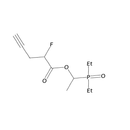 C#CCC(F)C(=O)OC(C)P(=O)(CC)CC